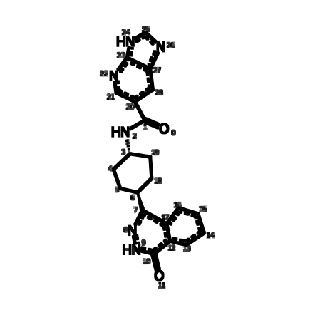 O=C(N[C@H]1CC[C@H](c2n[nH]c(=O)c3ccccc32)CC1)c1cnc2[nH]cnc2c1